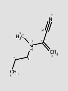 C=C(C#N)[SiH](C)CCC